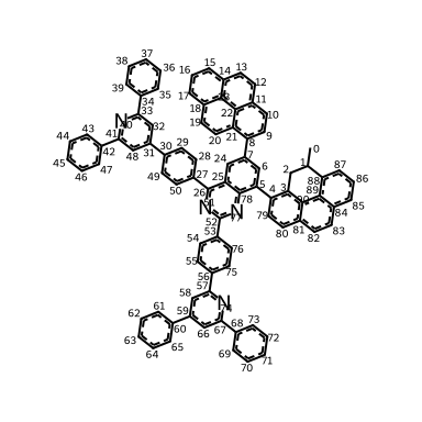 CC1Cc2c(-c3cc(-c4ccc5ccc6cccc7ccc4c5c67)cc4c(-c5ccc(-c6cc(-c7ccccc7)nc(-c7ccccc7)c6)cc5)nc(-c5ccc(-c6cc(-c7ccccc7)cc(-c7ccccc7)n6)cc5)nc34)ccc3ccc4cccc1c4c23